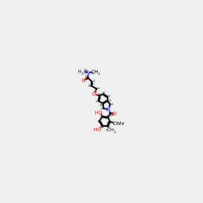 COc1c(C)c(O)cc(O)c1C(=O)N1Cc2ccc(OC/C=C/C(=O)N(C)C)cc2C1